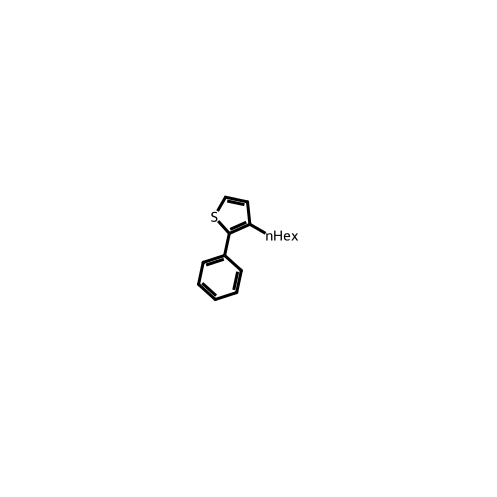 CCCCCCc1ccsc1-c1ccccc1